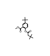 COC(=O)c1cc(C(C)(C)C)ccc1OC(=O)CC(C)(C)C